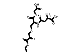 CCOC(=O)C(=O)CSCC(NC(=O)CC(N)C(=O)O)C(=O)NCC(=O)O